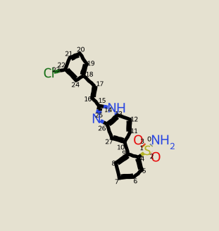 NS(=O)(=O)c1ccccc1-c1ccc2[nH]c(C=Cc3cccc(Cl)c3)nc2c1